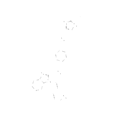 Cc1nc(CNCc2ccc(CN(Cc3nc4ccccc4[nH]3)C3C=C4C=CC=NC4CC3)cc2)c[nH]1